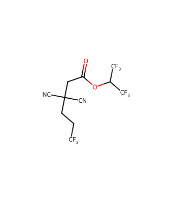 N#CC(C#N)(CCC(F)(F)F)CC(=O)OC(C(F)(F)F)C(F)(F)F